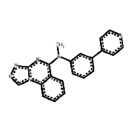 CN(c1cccc(-c2ccncc2)c1)c1nc2nncn2c2ccccc12